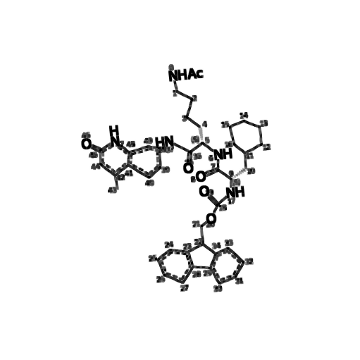 CC(=O)NCCCC[C@H](NC(=O)[C@H](CC1CCCCC1)NC(=O)OCC1c2ccccc2-c2ccccc21)C(=O)Nc1ccc2c(C)cc(=O)[nH]c2c1